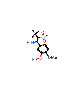 CCOc1cc(C(N)C([Si](C)(C)C)S(C)(=O)=O)ccc1OC